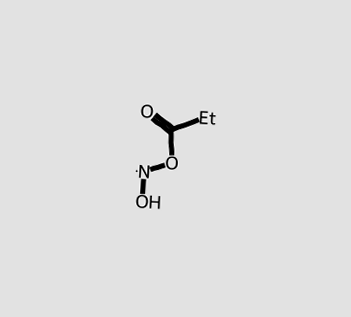 CCC(=O)O[N]O